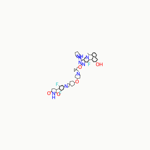 CCc1cccc2cc(O)cc(-c3ncc4c(N5CC6CCC(C5)N6)nc(OCC5(CN6CCC(OC7CCC8(CC7)CN(c7cc(F)c(C9CCC(=O)NC9=O)c(F)c7)C8)CC6)CC5)nc4c3F)c12